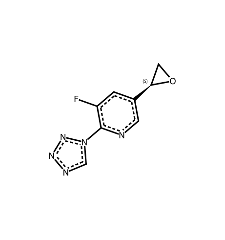 Fc1cc([C@H]2CO2)cnc1-n1cnnn1